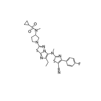 CCc1nc2sc(N3CCC(N(C)S(=O)(=O)C4CC4)C3)nn2c1N(C)c1nc(-c2ccc(F)cc2)c(C#N)s1